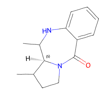 CC1CCN2C(=O)c3ccccc3NC(C)[C@H]12